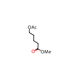 COC(=O)CCCCOC(C)=O